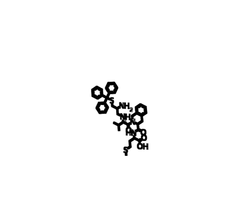 CSCCC(NC(=O)C1Cc2ccccc2CN1C(=O)[C@@H](NCC(N)CSC(c1ccccc1)(c1ccccc1)c1ccccc1)C(C)C)C(=O)O